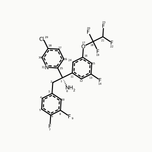 N[C@@](Cc1ccc(F)c(F)c1)(c1cc(F)cc(OC(F)(F)C(F)F)c1)c1ccc(Cl)cn1